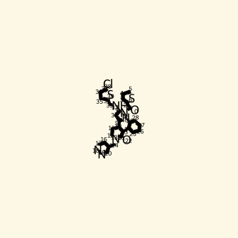 O=C(c1cccs1)n1nc(-c2ccn(Cc3ccnnc3)c(=O)c2-c2ccccc2)cc1NCc1ccc(Cl)s1